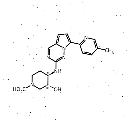 Cc1ccc(-c2ccc3cnc(N[C@@H]4CCN(C(=O)O)C[C@H]4O)nn23)nc1